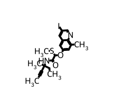 CC#CC(C)(CC)NC(=O)C(Oc1cc(C)c2ncc(I)cc2c1)SC